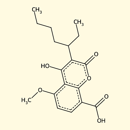 CCCCC(CC)c1c(O)c2c(OC)ccc(C(=O)O)c2oc1=O